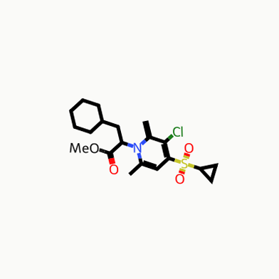 C=C1C(Cl)=C(S(=O)(=O)C2CC2)C=C(C)N1C(CC1CCCCC1)C(=O)OC